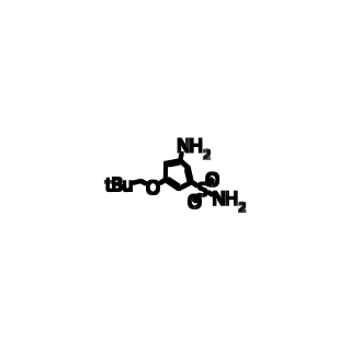 CC(C)(C)COc1cc(N)cc(S(N)(=O)=O)c1